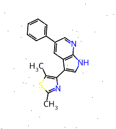 Cc1nc(-c2c[nH]c3ncc(-c4ccccc4)cc23)c(C)s1